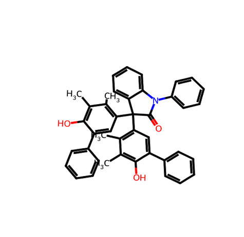 Cc1c(C2(c3cc(-c4ccccc4)c(O)c(C)c3C)C(=O)N(c3ccccc3)c3ccccc32)cc(-c2ccccc2)c(O)c1C